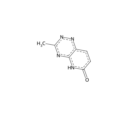 Cc1nnc2ccc(=O)[nH]c2n1